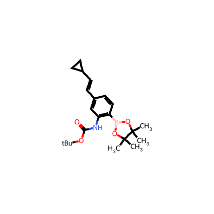 CC(C)(C)OC(=O)Nc1cc(/C=C/C2CC2)ccc1B1OC(C)(C)C(C)(C)O1